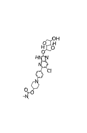 CN(C)C(=O)OC1CCN(c2ccc(-c3nc4[nH]c(O[C@@H]5CO[C@H]6[C@@H]5OC[C@H]6O)nc4cc3Cl)cc2)CC1